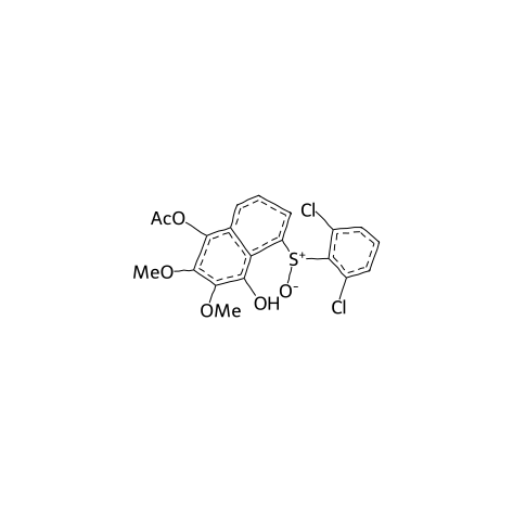 COc1c(OC)c(O)c2c([S+]([O-])c3c(Cl)cccc3Cl)cccc2c1OC(C)=O